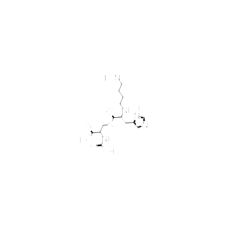 CC(=O)NC(CSC(=O)[C@H](Cc1cnc[nH]1)NCCCCN)C(=O)O